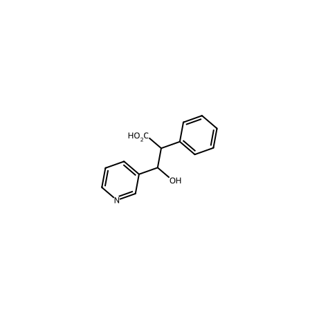 O=C(O)C(c1ccccc1)C(O)c1cccnc1